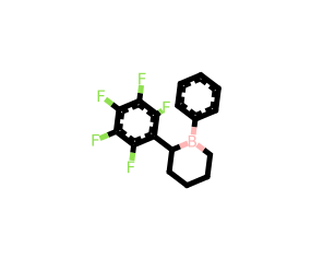 Fc1c(F)c(F)c(C2CCCCB2c2ccccc2)c(F)c1F